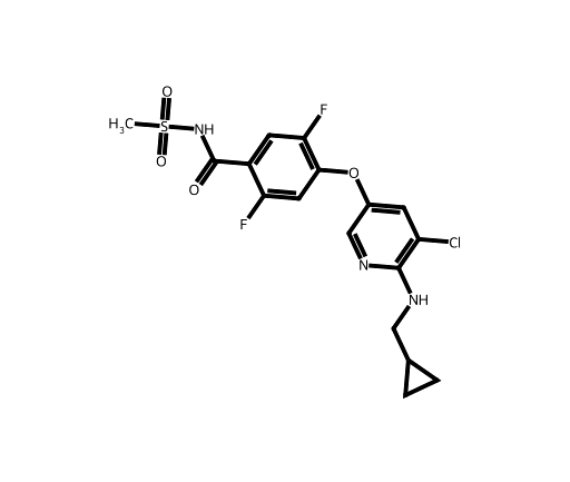 CS(=O)(=O)NC(=O)c1cc(F)c(Oc2cnc(NCC3CC3)c(Cl)c2)cc1F